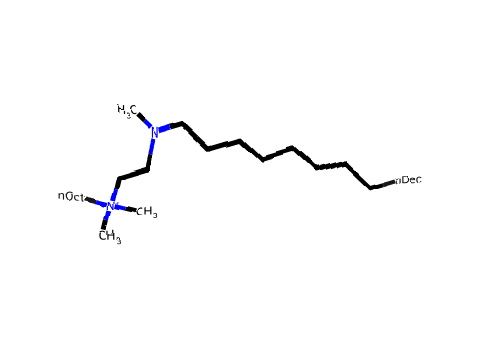 CCCCCCCCCCCCCCCCCCN(C)CC[N+](C)(C)CCCCCCCC